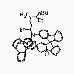 CCCCC(CC)C(C)CCC(CC)N(c1c#cc2c(c1)-c1c3cccc1-c1cccc-2c1-c1ccccc1-3)c1ccc2c(c1)C1(C3=CC=CC[C@@H]3c3ccccc31)c1ccccc1-2